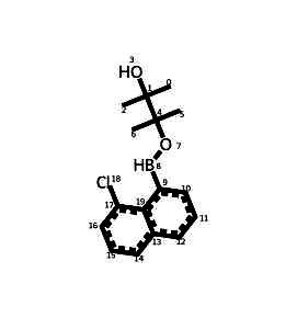 CC(C)(O)C(C)(C)OBc1cccc2cccc(Cl)c12